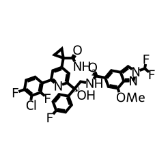 COc1cc(C(=O)NC[C@@](O)(c2ccc(F)cc2)c2cc(C3(C(N)=O)CC3)cc(-c3ccc(F)c(Cl)c3F)n2)cc2cn(C(F)F)nc12